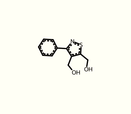 OCc1snc(-c2ccccc2)c1CO